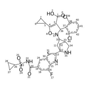 O=C(O)C1=C(C2CC2)ON(C2CC3(c4nc5c(F)cc(C(=O)NS(=O)(=O)C6CC6)cc5s4)CC2CN3)C1c1c(Cl)cccc1Cl